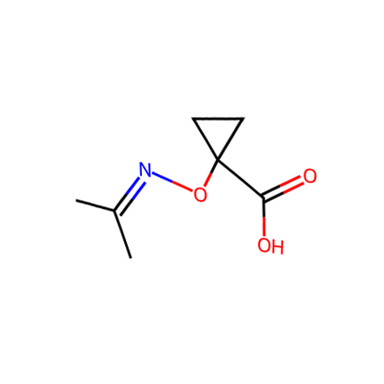 CC(C)=NOC1(C(=O)O)CC1